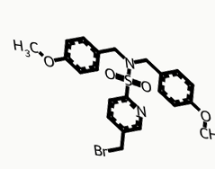 COc1ccc(CN(Cc2ccc(OC)cc2)S(=O)(=O)c2ccc(CBr)cn2)cc1